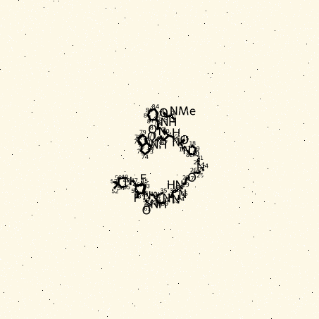 CN[C@@H](C)C(=O)N[C@H](C(=O)N1CC(CNC(=O)CN2CC[C@H](CCN(C)CCOCCNc3cc(N4CCC5(CC4)CN(c4cc(F)c(CN6CCC(C)(C)CC6)cc4F)CC(=O)N5)ncn3)C2)C[C@H]1C(=O)N[C@H]1CCCc2ccccc21)C1CCCCC1